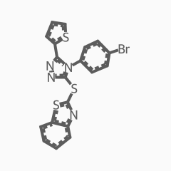 Brc1ccc(-n2c(Sc3nc4ccccc4s3)nnc2-c2cccs2)cc1